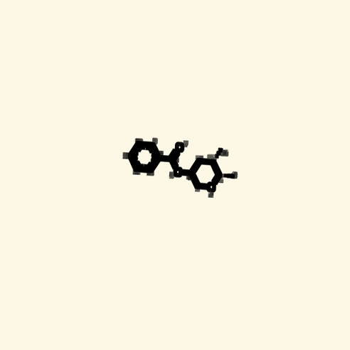 C[C@@H]1OCC(OC(=O)c2ccccc2)C[C@@H]1C